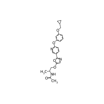 CC(=O)NC(C)COc1cnc(-c2ccc(Oc3cccc(OCC4CC4)c3)nc2)o1